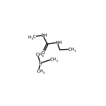 CBC(=O)NCC.CN(C)C